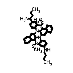 CCCCNc1ccc2c(c1)B(SC)c1c3c(cc4ccccc14)N1c4ccc(C(N)CCC)cc4B(SC)C4=c5ccccc5=CC(C41)N23